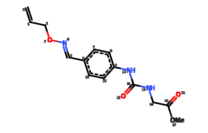 C=CCON=Cc1ccc(NC(=O)NCC(=O)OC)cc1